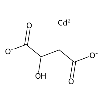 O=C([O-])CC(O)C(=O)[O-].[Cd+2]